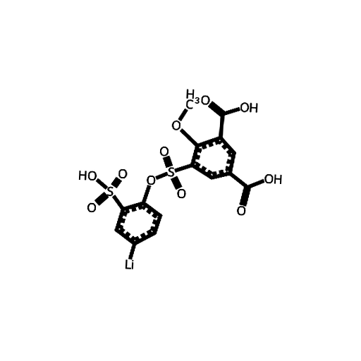 [Li][c]1ccc(OS(=O)(=O)c2cc(C(=O)O)cc(C(=O)O)c2OC)c(S(=O)(=O)O)c1